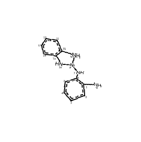 [NH]c1ccccc1[NH][Ni]1[NH]c2ccccc2[NH]1